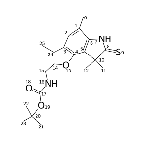 Cc1cc2c(c3c1NC(=S)C3(C)C)OC(CNC(=O)OC(C)(C)C)C2C